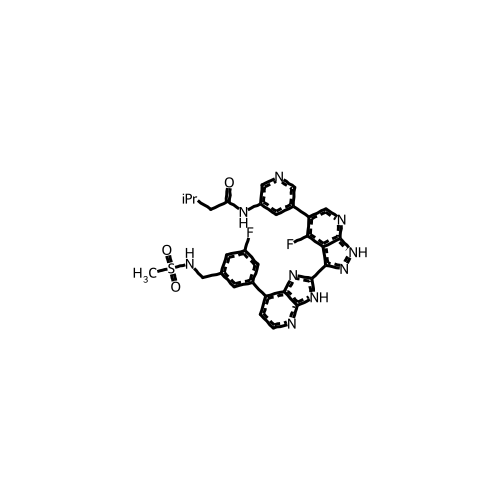 CC(C)CC(=O)Nc1cncc(-c2cnc3[nH]nc(-c4nc5c(-c6cc(F)cc(CNS(C)(=O)=O)c6)ccnc5[nH]4)c3c2F)c1